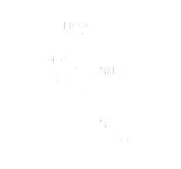 CC1(C)Cc2c(C(=O)O)ccc(F)c2NC1c1cccc(N2CCOCC2)c1